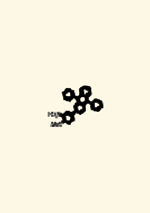 COC1=C(S(=O)(=O)O)C=C(c2ccc3c(-c4ccccc4)c4ccccc4c(-c4ccccc4)c3c2)CC1